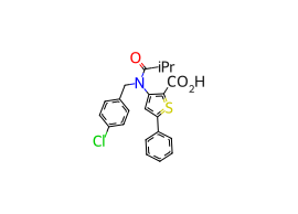 CC(C)C(=O)N(Cc1ccc(Cl)cc1)c1cc(-c2ccccc2)sc1C(=O)O